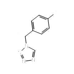 C[C@H](c1ccc(Cl)cc1)n1cnnn1